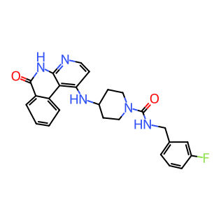 O=C(NCc1cccc(F)c1)N1CCC(Nc2ccnc3[nH]c(=O)c4ccccc4c23)CC1